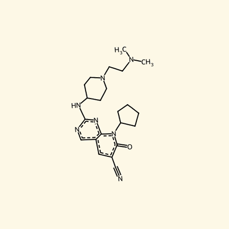 CN(C)CCN1CCC(Nc2ncc3cc(C#N)c(=O)n(C4CCCC4)c3n2)CC1